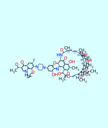 COc1c(N2CCN(c3cc(O)c4nc5c6c7c8c(C)c(O)c6c(=O)c(c-5oc4c3)NC(=O)/C(C)=C\C=C\[C@H](C)[C@H](O)[C@@H](C)[C@@H](O)[C@@H](C)[C@H](OC(C)=O)[C@H](C)[C@@H](OC)/C=C/O[C@@](C)(O8)C7=O)CC2)c(F)cc2c(=O)c(C(C)=O)cn(C3CC3)c12